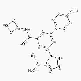 Cc1ccc(-c2cc(C(=O)NC3COC3)cc(-n3nnnc3C(C)O)c2)cc1